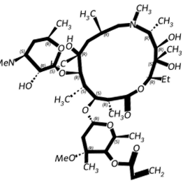 C=CC(=O)OC1[C@H](C)O[C@@H](O[C@H]2[C@H](C)[C@@H](O[C@@H]3O[C@H](C)C[C@H](NC)[C@H]3O)[C@](C)(O)C[C@@H](C)CN(C)[C@H](C)[C@@H](O)[C@](C)(O)[C@@H](CC)OC(=O)[C@@H]2C)C[C@@]1(C)OC